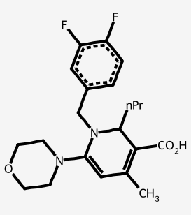 CCCC1C(C(=O)O)=C(C)C=C(N2CCOCC2)N1Cc1ccc(F)c(F)c1